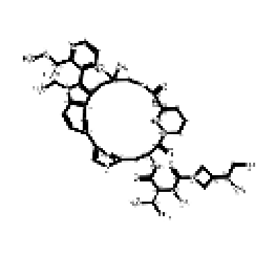 CCn1c(-c2cccnc2[C@H](C)OC)c2c3cc(ccc31)-c1csc(n1)C[C@H](NC(=O)[C@H](C(C)C)N(C)C(=O)N1CC([C@H](C)CO)C1)C(=O)N1CCC[C@H](N1)C(=O)OCC(C)(C)C2